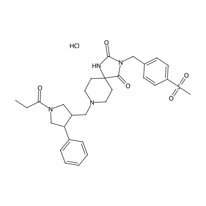 CCC(=O)N1CC(CN2CCC3(CC2)NC(=O)N(Cc2ccc(S(C)(=O)=O)cc2)C3=O)C(c2ccccc2)C1.Cl